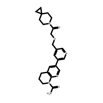 NC(=O)N1CCCc2cc(-c3cncc(COCC(=O)N4CCC5(CC4)CC5)c3)cnc21